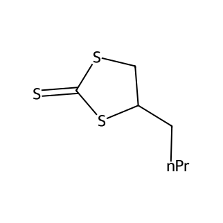 CCCCC1CSC(=S)S1